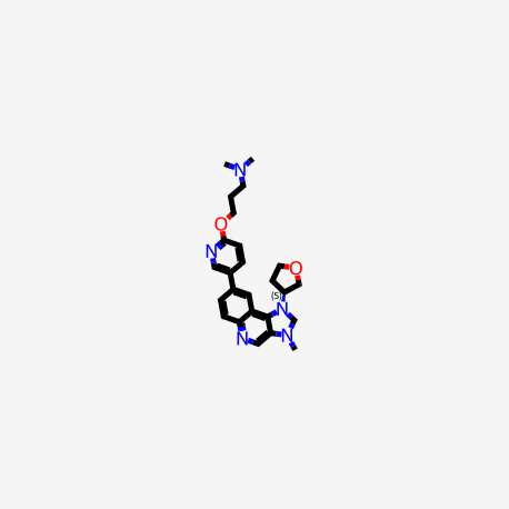 CN(C)CCCOc1ccc(-c2ccc3ncc4c(c3c2)N([C@H]2CCOC2)CN4C)cn1